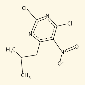 CC(C)Cc1nc(Cl)nc(Cl)c1[N+](=O)[O-]